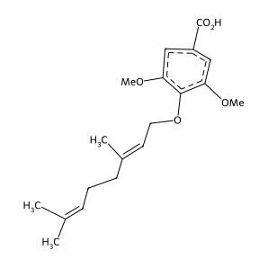 COc1cc(C(=O)O)cc(OC)c1OC/C=C(\C)CCC=C(C)C